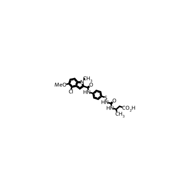 COc1ccc2c(cc(C(=O)Nc3ccc(SNC(=O)NC(C)CC(=O)O)cc3)n2C)c1Cl